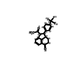 CC(=O)N1c2cccc3c2C(CCC3=O)C1c1ccc(C(F)(F)F)cc1